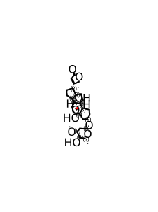 CO[C@H]1C[C@H](O[C@H]2CC[C@]3(C=O)[C@H]4CC[C@]5(C)[C@@H](C6=CC(=O)OC6)CC[C@]5(O)[C@@H]4CC[C@]3(O)C2)O[C@H](C)[C@H]1O